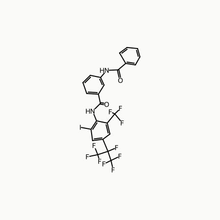 O=C(Nc1cccc(C(=O)Nc2c(I)cc(C(F)(C(F)(F)F)C(F)(F)F)cc2C(F)(F)F)c1)c1ccccc1